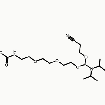 CC(C)N(C(C)C)P(OCCC#N)OCCOCCOCCNC(=O)O